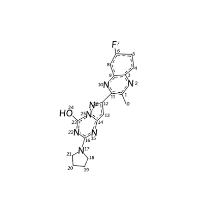 Cc1nc2ccc(F)cc2nc1-c1cc2nc(N3CCCC3)nc(O)n2n1